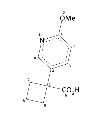 COc1ccc(C2(C(=O)O)CCC2)cn1